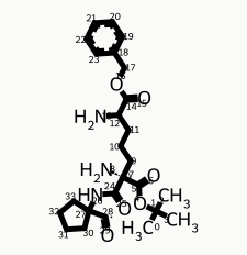 CC(C)(C)OC(=O)[C@](N)(CCCC(N)C(=O)OCc1ccccc1)C(=O)NC1([C]=O)CCCC1